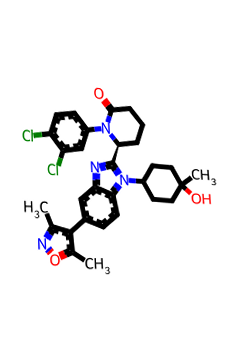 Cc1noc(C)c1-c1ccc2c(c1)nc([C@@H]1CCCC(=O)N1c1ccc(Cl)c(Cl)c1)n2C1CCC(C)(O)CC1